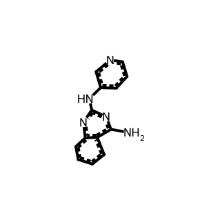 Nc1nc(Nc2cccnc2)nc2ccccc12